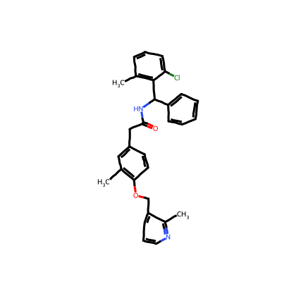 Cc1cc(CC(=O)NC(c2ccccc2)c2c(C)cccc2Cl)ccc1OCc1cccnc1C